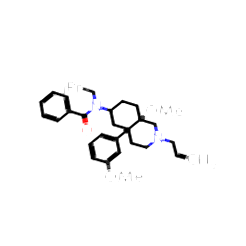 C=CCN1CCC2(c3cccc(OC)c3)CC(N(CC(C)C)C(=O)c3ccccc3)CCC2(OC)C1